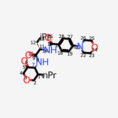 CCCC1COCC(=O)[C@H]1NC(=O)[C@H](CC(C)C)NC(=O)c1ccc(N2CCOCC2)cc1